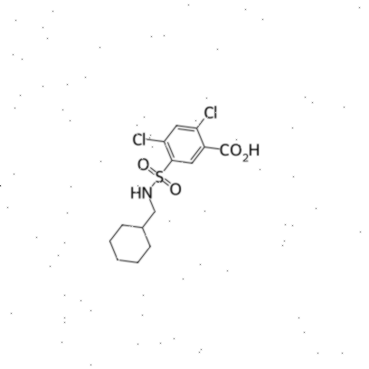 O=C(O)c1cc(S(=O)(=O)NCC2CCCCC2)c(Cl)cc1Cl